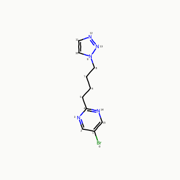 Brc1cnc(CCCCn2ccnn2)nc1